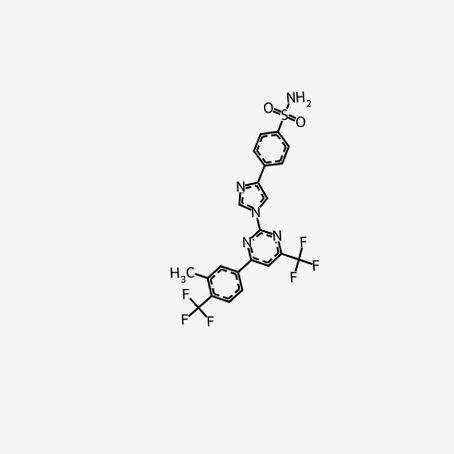 Cc1cc(-c2cc(C(F)(F)F)nc(-n3cnc(-c4ccc(S(N)(=O)=O)cc4)c3)n2)ccc1C(F)(F)F